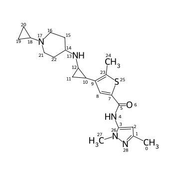 Cc1cc(NC(=O)c2cc(C3CC3NC3CCN(C4CC4)CC3)c(C)s2)n(C)n1